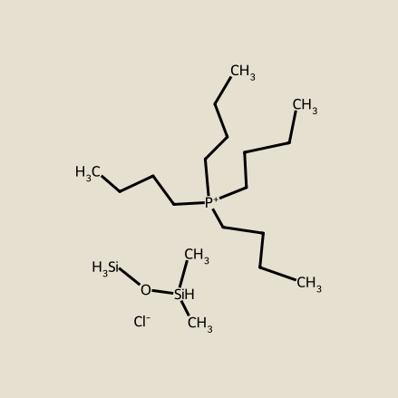 CCCC[P+](CCCC)(CCCC)CCCC.C[SiH](C)O[SiH3].[Cl-]